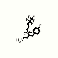 NCCC(Cc1ccc(F)cc1)S(=O)(=O)CCCC(F)(F)C(F)(F)F